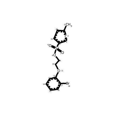 Cc1ccc(S(=O)(=O)OCCOc2ccccc2Br)cc1